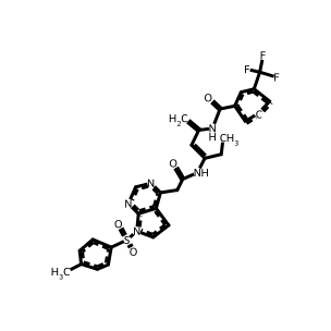 C=C(C=C(CC)NC(=O)Cc1ncnc2c1ccn2S(=O)(=O)c1ccc(C)cc1)NC(=O)c1cccc(C(F)(F)F)c1